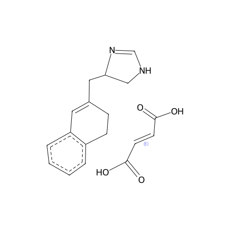 C1=NC(CC2=Cc3ccccc3CC2)CN1.O=C(O)/C=C/C(=O)O